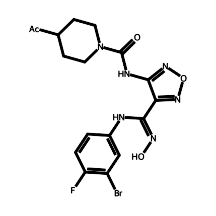 CC(=O)C1CCN(C(=O)Nc2nonc2C(=NO)Nc2ccc(F)c(Br)c2)CC1